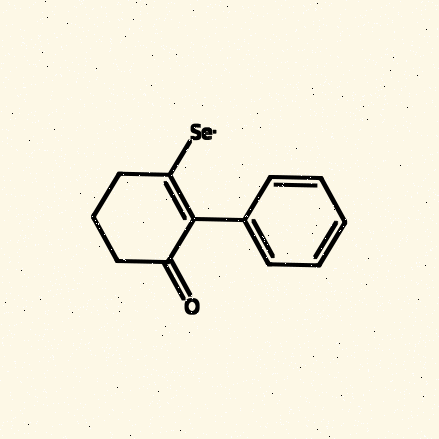 O=C1CCCC([Se])=C1c1ccccc1